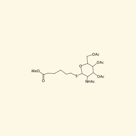 COC(=O)CCCCCSC1OC(COC(C)=O)C(OC(C)=O)C(OC(C)=O)C1NC(C)=O